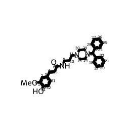 COc1cc(/C=C/C(=O)NCCCN2CCN(C(c3ccccc3)c3ccccc3)CC2)ccc1O